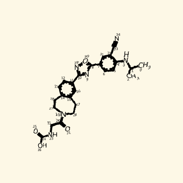 CC(C)Nc1ccc(-c2nc(-c3ccc4c(c3)CCN(C(=O)CNC(=O)O)CC4)no2)cc1C#N